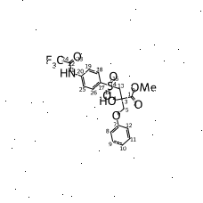 COC(=O)C(O)(COc1ccccc1)CS(=O)(=O)c1ccc(NC(=O)C(F)(F)F)cc1